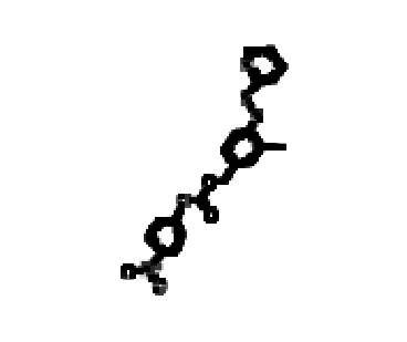 Cc1cc(COC(=O)Oc2ccc([N+](=O)[O-])cc2)ccc1SSc1ccccn1